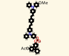 COc1ccc(N(c2ccccc2)c2ccc(C=Cc3ccc(C=Cc4ccc(N(c5ccccc5)c5ccc(OC(=O)Oc6ccc(C7(c8ccc(OC(C)=O)cc8)CCCCC7)cc6)cc5)cc4)cc3)cc2)cc1